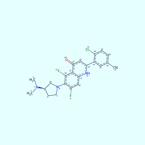 CN(C)[C@@H]1CCN(c2c(F)cc3[nH]c(-c4cc(C#N)ccc4Cl)cc(=O)c3c2F)C1